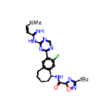 CN/C=C\C(=N)Nc1ncnc(-c2cc3c(cc2F)C(NC(=O)c2nc(C(C)(C)C)no2)CCCC3)n1